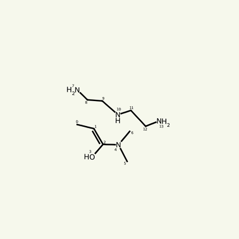 C/C=C(\O)N(C)C.NCCNCCN